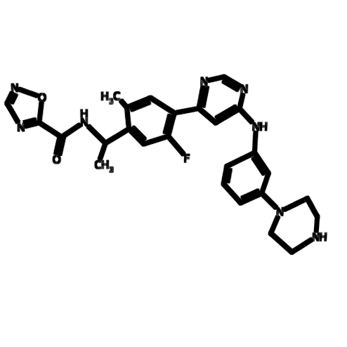 Cc1cc(-c2cc(Nc3cccc(N4CCNCC4)c3)ncn2)c(F)cc1C(C)NC(=O)c1ncno1